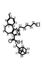 Cc1ccc2c(c1)CCCc1c(C(=O)NCC3CCC4CC3C4(C)C)nn(CCCCCCl)c1-2